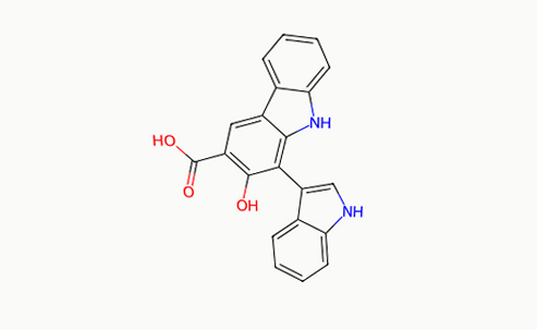 O=C(O)c1cc2c([nH]c3ccccc32)c(-c2c[nH]c3ccccc23)c1O